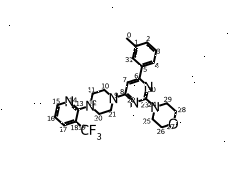 Cc1cccc(-c2cc(N3CCN(c4ncccc4C(F)(F)F)CC3)nc(N3CCOCC3)n2)c1